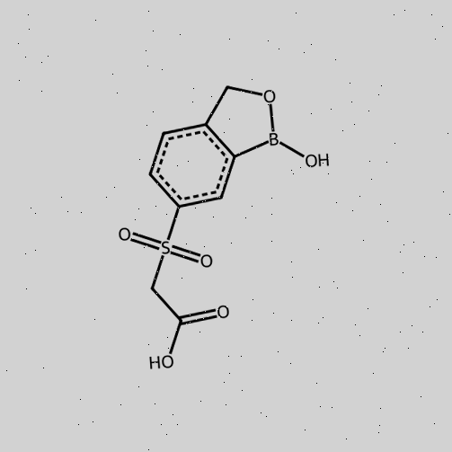 O=C(O)CS(=O)(=O)c1ccc2c(c1)B(O)OC2